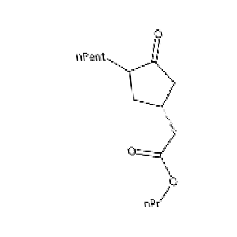 CCCCCC1C[C@@H](CC(=O)OCCC)CC1=O